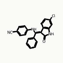 N#Cc1ccc(NC(=C2C(=O)Nc3cc(Cl)ccc32)c2ccccc2)cc1